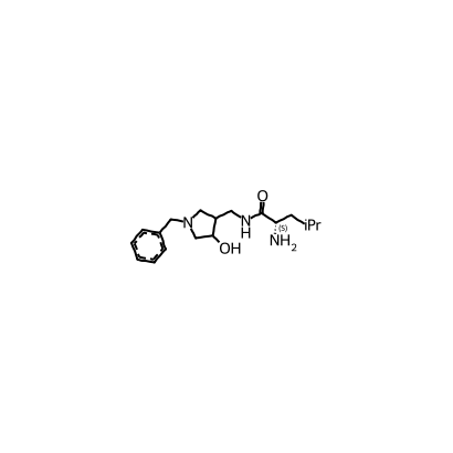 CC(C)C[C@H](N)C(=O)NCC1CN(Cc2ccccc2)CC1O